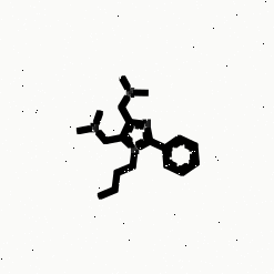 CCCCn1c(-c2ccccc2)nc(CN(C)C)c1CN(C)C